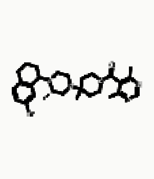 Cc1ncnc(C)c1C(=O)N1CCC(C)(N2CCN(C3CCCc4ccc(Br)cc43)[C@@H](C)C2)CC1